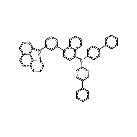 c1ccc(-c2ccc(N(c3ccc(-c4ccccc4)cc3)c3ccc(-c4cccc(-n5c6cccc7ccc8cccc5c8c76)c4)c4ccccc34)cc2)cc1